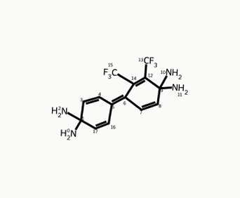 NC1(N)C=CC(=C2C=CC(N)(N)C(C(F)(F)F)=C2C(F)(F)F)C=C1